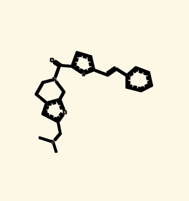 CN(C)Cc1cc2c(o1)CN(C(=O)c1ccc(/C=C/c3ccccc3)s1)CC2